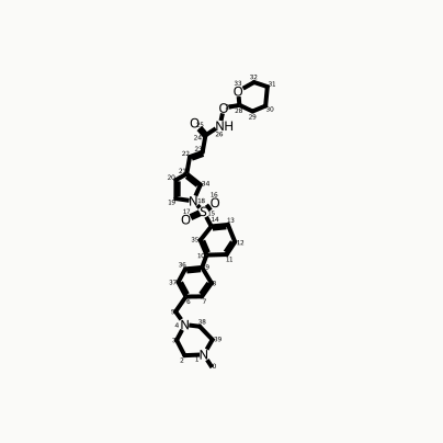 CN1CCN(Cc2ccc(-c3cccc(S(=O)(=O)n4ccc(C=CC(=O)NOC5CCCCO5)c4)c3)cc2)CC1